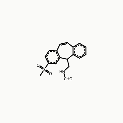 CS(=O)(=O)c1ccc2c(c1)C(CNC=O)c1ccccc1C=C2